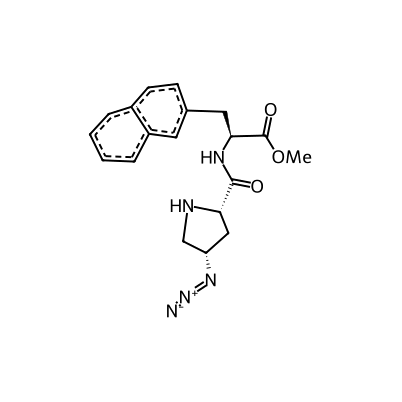 COC(=O)[C@H](Cc1ccc2ccccc2c1)NC(=O)[C@@H]1C[C@H](N=[N+]=[N-])CN1